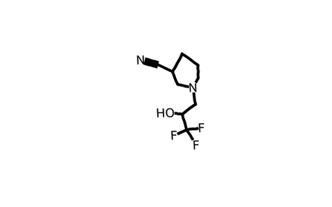 N#CC1CCCN(CC(O)C(F)(F)F)C1